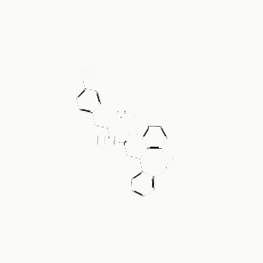 COc1ccc2c(c1)C(CC(=O)NCCc1ccc(C(=O)O)cc1)c1ccccc1CO2